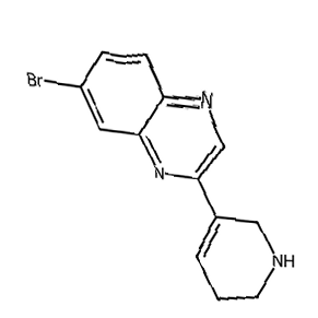 Brc1ccc2ncc(C3=CCCNC3)nc2c1